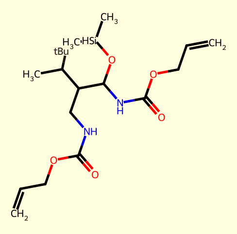 C=CCOC(=O)NCC(C(NC(=O)OCC=C)O[SiH](C)C)C(C)C(C)(C)C